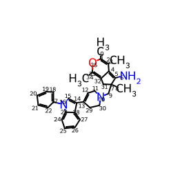 CC1=C(C)C2=C(N)C(C)(CN3CC=C(c4cn(-c5ccccc5)c5ccccc45)CC3)CC2=C(C)O1